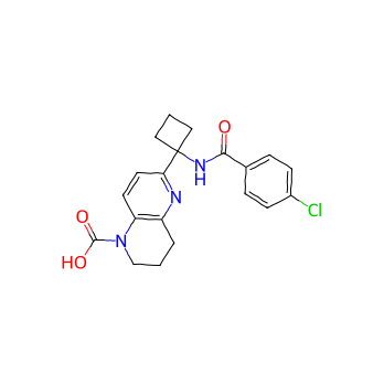 O=C(NC1(c2ccc3c(n2)CCCN3C(=O)O)CCC1)c1ccc(Cl)cc1